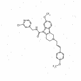 O=C(NCc1ccnc(Cl)c1)n1c2c(c3ccc(OC(F)(F)F)cc31)CN(CC=Cc1ccc(OC(F)(F)F)cc1)CC2